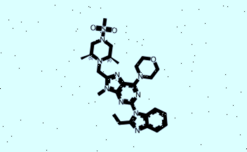 CCc1nc2ccccc2n1-c1nc(N2CCOCC2)c2nc(CN3[C@H](C)CN(S(C)(=O)=O)C[C@@H]3C)n(C)c2n1